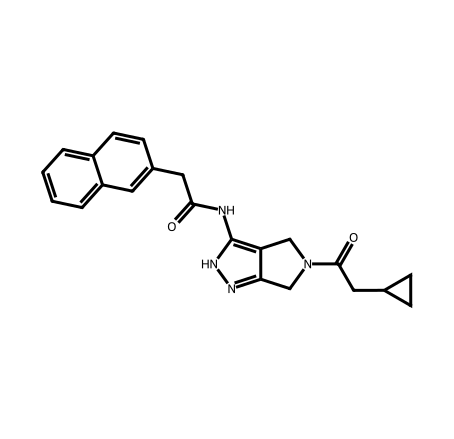 O=C(Cc1ccc2ccccc2c1)Nc1[nH]nc2c1CN(C(=O)CC1CC1)C2